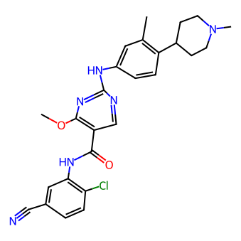 COc1nc(Nc2ccc(C3CCN(C)CC3)c(C)c2)ncc1C(=O)Nc1cc(C#N)ccc1Cl